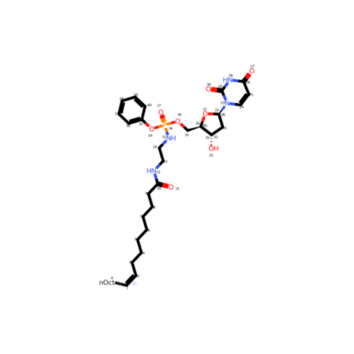 CCCCCCCC/C=C\CCCCCCCC(=O)NCCNP(=O)(OC[C@H]1O[C@@H](n2ccc(=O)[nH]c2=O)C[C@@H]1O)Oc1ccccc1